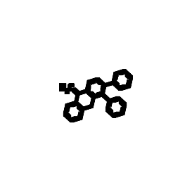 C=C1c2ccccc2Cc2c1ccc(-c1ccccc1)c2-c1ccccc1